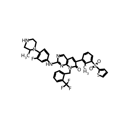 Cc1c(-c2cc3cnc(Nc4ccc(N5CCNCC5C)c(F)c4)nc3n(Cc3ccccc3C(F)(F)F)c2=O)cccc1S(=O)(=O)c1cccs1